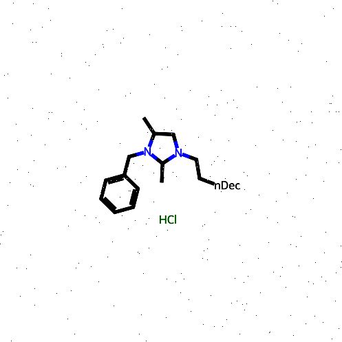 CCCCCCCCCCCCN1CC(C)N(Cc2ccccc2)C1C.Cl